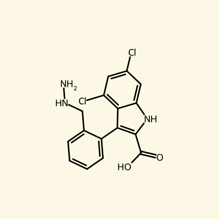 NNCc1ccccc1-c1c(C(=O)O)[nH]c2cc(Cl)cc(Cl)c12